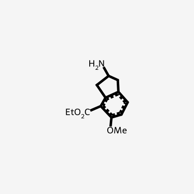 CCOC(=O)c1c(OC)ccc2c1CC(N)C2